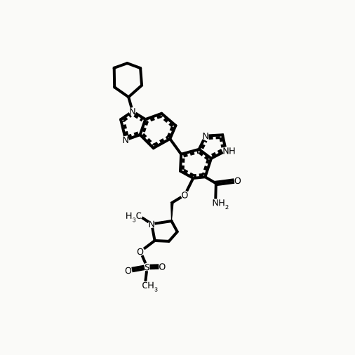 CN1C(OS(C)(=O)=O)CC[C@@H]1COc1cc(-c2ccc3c(c2)ncn3C2CCCCC2)c2nc[nH]c2c1C(N)=O